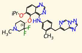 Cc1cc(Nc2ncnc3ccc(OC(C)C)c(O[C@H]4CCN(C)CC4(F)F)c23)ccc1Cc1cc2ncnn2cn1